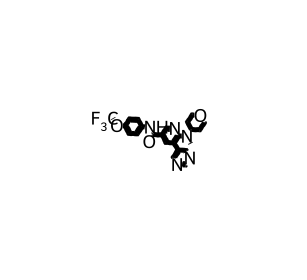 CN(c1ncc(C(=O)Nc2ccc(OC(F)(F)F)cc2)cc1-c1cncnc1)C1CCOCC1